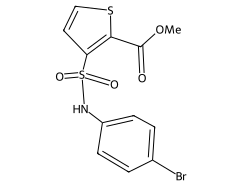 COC(=O)c1sccc1S(=O)(=O)Nc1ccc(Br)cc1